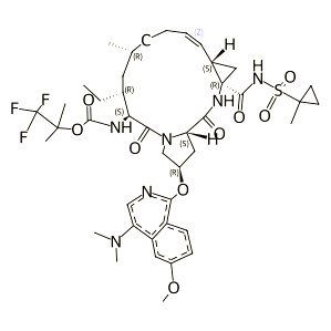 CC[C@@H]1C[C@H](C)CC/C=C\[C@@H]2C[C@@]2(C(=O)NS(=O)(=O)C2(C)CC2)NC(=O)[C@@H]2C[C@@H](Oc3ncc(N(C)C)c4cc(OC)ccc34)CN2C(=O)[C@H]1NC(=O)OC(C)(C)C(F)(F)F